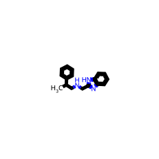 CC(CNCc1nc2ccccc2[nH]1)c1ccccc1